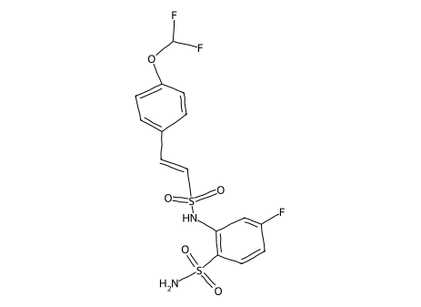 NS(=O)(=O)c1ccc(F)cc1NS(=O)(=O)C=Cc1ccc(OC(F)F)cc1